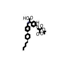 CCCCC[C@H]1CC[C@H](c2ccc(/C=C(/C(=O)O)c3ccc(NC=C4C(=O)OC(C)(C)OC4=O)cc3)cc2)CC1